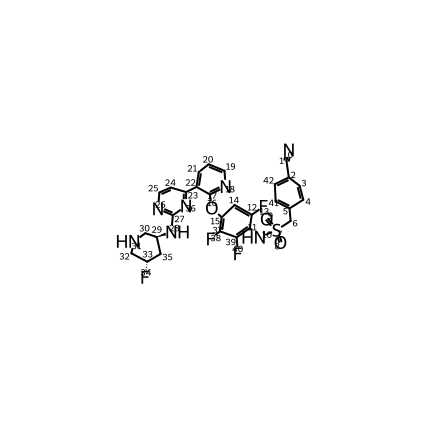 N#Cc1ccc(CS(=O)(=O)Nc2c(F)cc(Oc3ncccc3-c3ccnc(N[C@@H]4CNC[C@@H](F)C4)n3)c(F)c2F)cc1